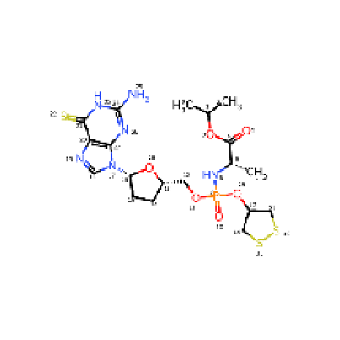 CC(C)OC(=O)[C@H](C)N[P@@](=O)(OC[C@@H]1CC[C@H](n2cnc3c(=S)[nH]c(N)nc32)O1)OC1CSSC1